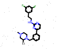 CCC1CN(C)CCN1Cc1cccc(-c2ccnc(NCCc3cc(F)cc(F)c3)n2)c1